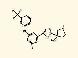 Cc1cc(Nc2nccc(C(F)(F)F)n2)cc(-c2cnc(C3(O)CCNC3)s2)c1